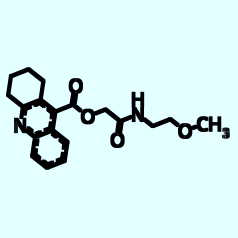 COCCNC(=O)COC(=O)c1c2c(nc3ccccc13)CCCC2